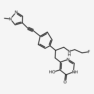 Cn1cc(C#Cc2ccc(C(CNCCF)Cc3nc[nH]c(=O)c3O)cc2)cn1